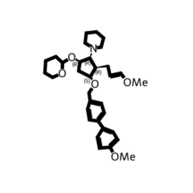 COC=CC[C@@H]1[C@@H](N2CCCCC2)[C@H](OC2CCCCO2)C[C@@H]1OCc1ccc(-c2ccc(OC)cc2)cc1